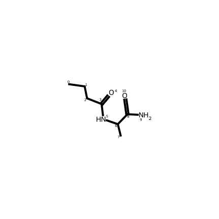 CCCC(=O)NC(C)C(N)=O